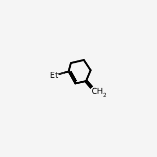 C=C1C=C(CC)CCC1